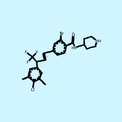 Cc1cc(C(/C=C/c2ccc(C(=O)NC3CCNCC3)c(Br)c2)C(F)(F)F)cc(C)c1Cl